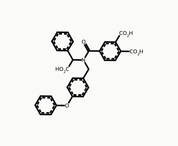 O=C(O)c1ccc(C(=O)N(Cc2ccc(Oc3ccccc3)cc2)C(C(=O)O)c2ccccc2)cc1C(=O)O